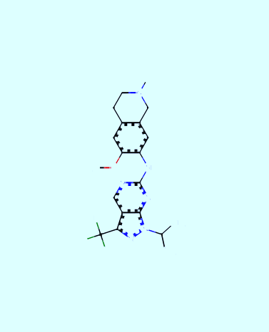 COc1cc2c(cc1Nc1ncc3c(C(F)(F)F)nn(C(C)C)c3n1)CN(C)CC2